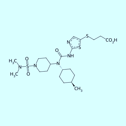 CN(C)S(=O)(=O)N1CCC(N(C(=O)Nc2ncc(SCCC(=O)O)s2)[C@H]2CC[C@H](C)CC2)CC1